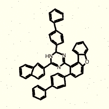 c1ccc(-c2ccc(-c3ccc4oc5ccccc5c4c3C3=NC(c4ccc(-c5ccccc5)cc4)NC(c4ccc5ccccc5c4)=N3)cc2)cc1